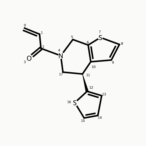 C=CC(=O)N1Cc2sccc2[C@@H](c2cccs2)C1